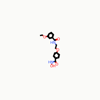 CCOc1cccc(C(=O)NCCOc2ccc(C(=O)NO)cc2)c1